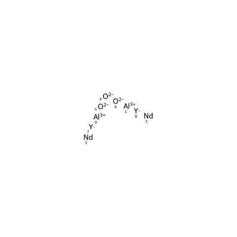 [Al+3].[Al+3].[Nd].[Nd].[O-2].[O-2].[O-2].[Y].[Y]